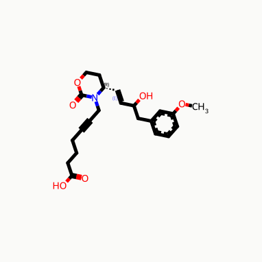 COc1cccc(CC(O)/C=C/[C@H]2CCOC(=O)N2CC#CCCCC(=O)O)c1